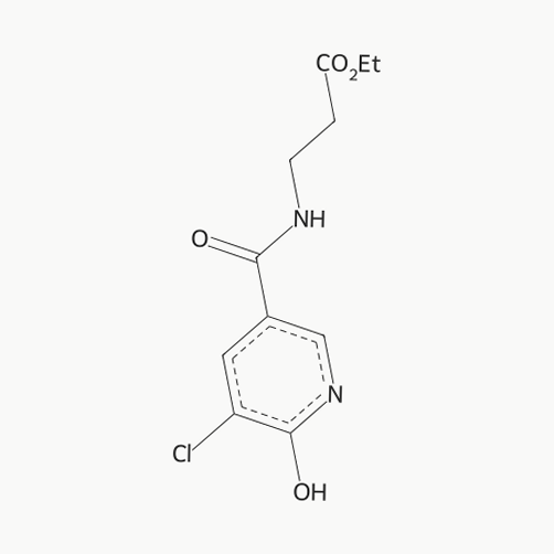 CCOC(=O)CCNC(=O)c1cnc(O)c(Cl)c1